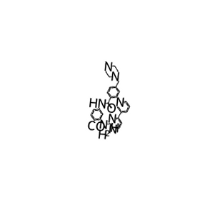 CN1CCN(Cc2ccc(C(=O)Nc3ccc(C(=O)O)c(Nc4nccc(-c5cccnc5)n4)c3)cc2)CC1